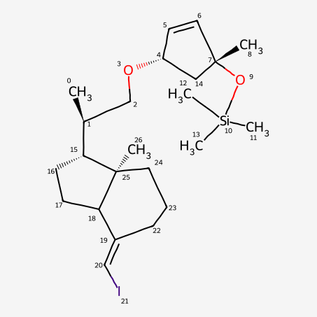 C[C@@H](CO[C@@H]1C=C[C@](C)(O[Si](C)(C)C)C1)[C@H]1CCC2C(=CI)CCC[C@@]21C